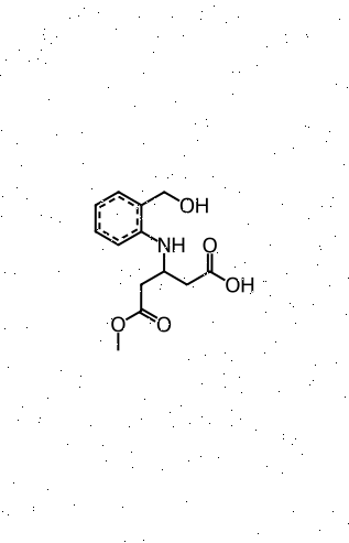 COC(=O)CC(CC(=O)O)Nc1ccccc1CO